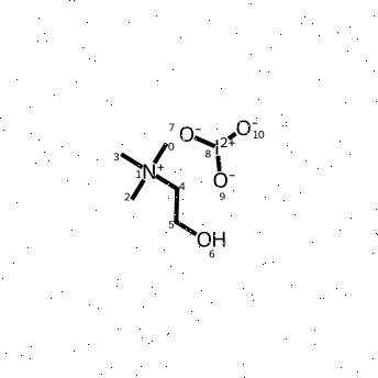 C[N+](C)(C)CCO.[O-][I+2]([O-])[O-]